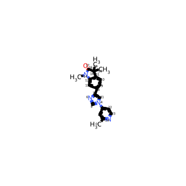 Cc1cc(-n2cnc(-c3ccc4c(c3)N(C)C(=O)C4(C)C)c2)ccn1